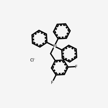 Fc1cc(F)cc(C[P+](c2ccccc2)(c2ccccc2)c2ccccc2)c1.[Cl-]